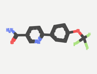 NC(=O)c1ccc(-c2ccc(OC(F)(F)F)cc2)nc1